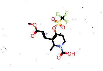 COC(=O)/C=C/C1=C(OS(=O)(=O)C(F)(F)F)CCN(C(=O)O)C1C